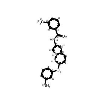 Nc1cccc(Oc2ccc3nc(NC(=O)c4cccc(C(F)(F)F)c4)cn3n2)c1